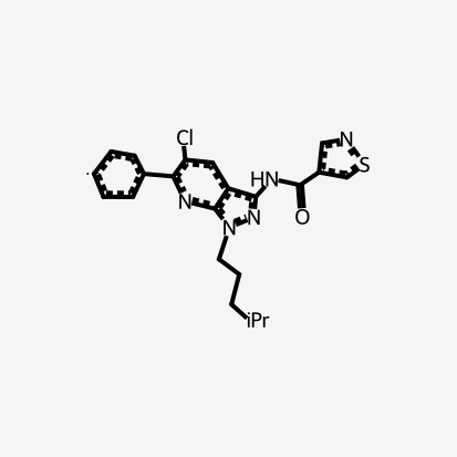 CC(C)CCCn1nc(NC(=O)c2cnsc2)c2cc(Cl)c(-c3cc[c]cc3)nc21